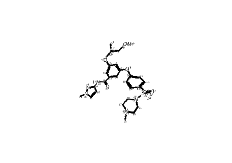 COC[C@H](C)Oc1cc(Oc2ccc([S+]([O-])N3CCN(C)CC3)cc2)cc(C(=O)Nc2ccn(C)n2)c1